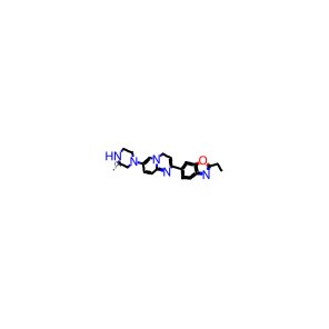 CCc1nc2ccc(C3=CCN4C=C(N5CCN[C@@H](C)C5)C=CC4=N3)cc2o1